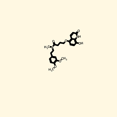 COc1ccc(CCN(C)C(=O)CCCOc2ccc(O)c3[nH]c(=O)ccc23)cc1OC